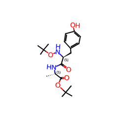 C[C@H](NC(=O)[C@H](Cc1ccc(O)cc1)NOC(C)(C)C)C(=O)OC(C)(C)C